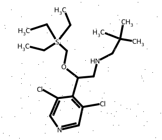 CCS(CC)(CC)COC(CNCC(C)(C)C)c1c(Cl)cncc1Cl